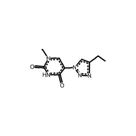 CCc1cn(-c2cn(C)c(=O)[nH]c2=O)nn1